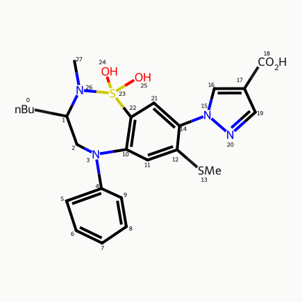 CCCCC1CN(c2ccccc2)c2cc(SC)c(-n3cc(C(=O)O)cn3)cc2S(O)(O)N1C